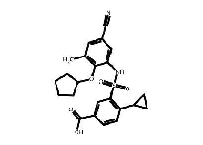 Cc1cc(C#N)cc(NS(=O)(=O)c2cc(C(=O)O)ccc2C2CC2)c1OC1CCCC1